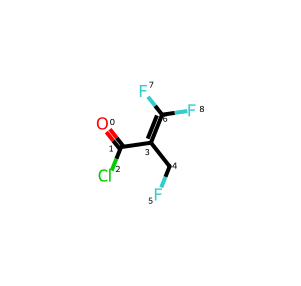 O=C(Cl)C(CF)=C(F)F